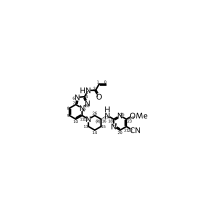 C=CC(=O)Nc1nc2cccc(N3CCC[C@@H](Nc4ncc(C#N)c(OC)n4)C3)n2n1